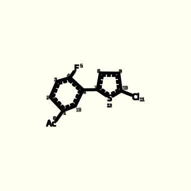 CC(=O)c1ccc(F)c(-c2ccc(Cl)s2)c1